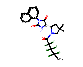 CC1(C)CC([C@@H]2NC(=O)N(c3cccc4ccccc34)C2=O)N(C(=O)C(F)(F)C(F)(F)C(F)(F)C(F)(F)F)C1